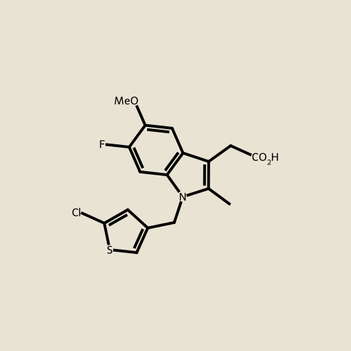 COc1cc2c(CC(=O)O)c(C)n(Cc3csc(Cl)c3)c2cc1F